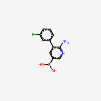 Nc1ncc(B(O)O)cc1-c1cccc(F)c1